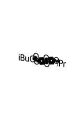 CC(C)COC(=O)Oc1ccc(S(=O)(=O)c2ccc(OC(C)C)cc2)cc1